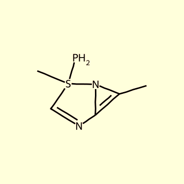 CC1=C2N=CS(C)(P)N12